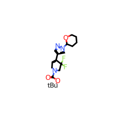 CC(C)(C)OC(=O)N1CC=C(c2cnn(C3CCCCO3)c2)C(F)(F)C1